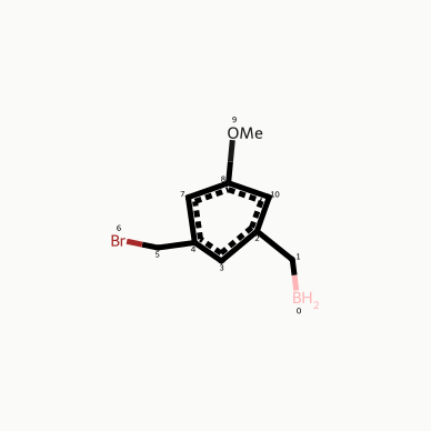 BCc1cc(CBr)cc(OC)c1